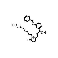 O=C(O)CCCCCCN1C(=O)CCC1C=CC(O)c1cccc(OCc2ccccc2)c1